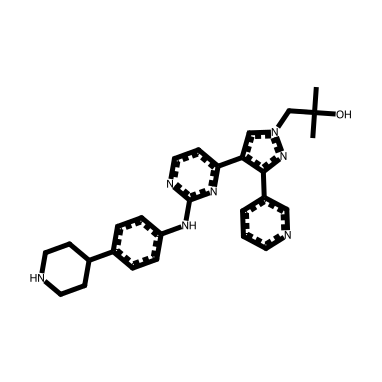 CC(C)(O)Cn1cc(-c2ccnc(Nc3ccc(C4CCNCC4)cc3)n2)c(-c2cccnc2)n1